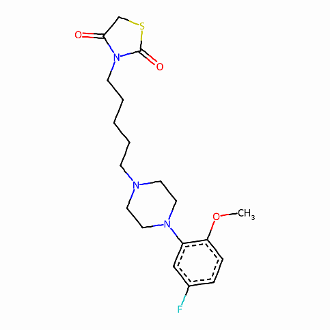 COc1ccc(F)cc1N1CCN(CCCCCN2C(=O)CSC2=O)CC1